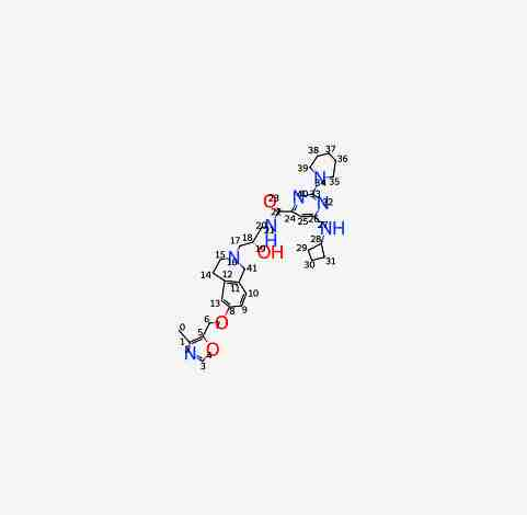 Cc1ncoc1COc1ccc2c(c1)CCN(C[C@@H](O)CNC(=O)c1cc(NC3CCC3)nc(N3CCCCC3)n1)C2